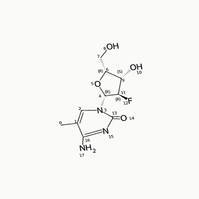 Cc1cn([C@@H]2O[C@H](CO)[C@H](O)[C@H]2F)c(=O)nc1N